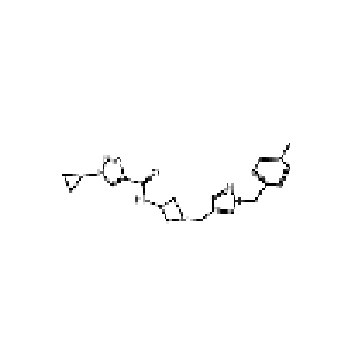 Cc1ccc(Cn2cc(CN3CC(NC(=O)c4cn(C5CC5)nn4)C3)cn2)cc1